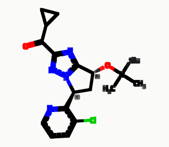 CC(C)(C)[Si](C)(C)O[C@@H]1C[C@@H](c2ncccc2Cl)n2nc(C(=O)C3CC3)nc21